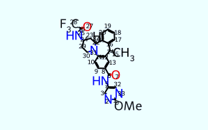 COc1ncc(NC(=O)c2ccc3c(c2)[C@H](C)c2ccccc2[C@H]2C[C@H](NC(=O)C(F)(F)F)CCN32)cn1